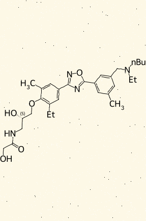 CCCCN(CC)Cc1cc(C)cc(-c2nc(-c3cc(C)c(OC[C@@H](O)CNC(=O)CO)c(CC)c3)no2)c1